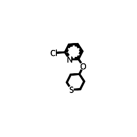 Clc1cccc(OC2CCSCC2)n1